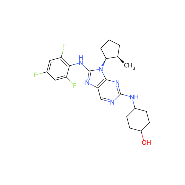 C[C@@H]1CCC[C@@H]1n1c(Nc2c(F)cc(F)cc2F)nc2cnc(NC3CCC(O)CC3)nc21